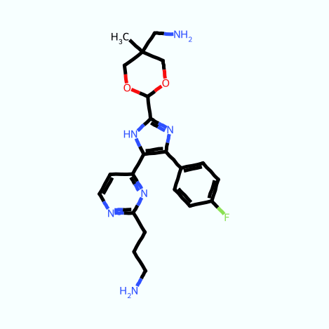 CC1(CN)COC(c2nc(-c3ccc(F)cc3)c(-c3ccnc(CCCN)n3)[nH]2)OC1